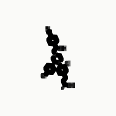 C[C@@H](O)CCc1ccc(N2CCN(C[C@@H](O)c3ccc(C#N)cc3)C[C@H]2c2ccc(Cl)cc2)c(Cl)c1